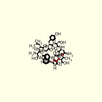 CC(C)C[C@H](NC(=O)[C@@H](N)CO)C(=O)N[C@@H](Cc1c[nH]c2ccccc12)C(=O)N[C@@H](Cc1ccc(O)cc1)C(=O)N[C@@H](CO)C(=O)N[C@@H](CC(N)=O)C(=O)N[C@@H](Cc1c[nH]cn1)C(=O)N[C@@H](Cc1c[nH]c2ccccc12)C(=O)N[C@H](C(=O)O)C(C)C